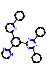 c1ccc(-c2cccc(-c3cc(-c4ncccn4)cc(-c4nc(-c5ccccc5)nc(-c5ccccc5)n4)c3)n2)cc1